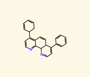 C1=CCC(c2ccnc3c2C=CC2C(c4ccccc4)=CC=NC32)C=C1